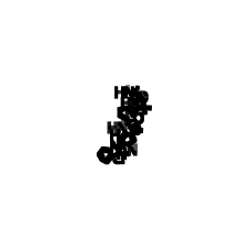 CN[C@@H](C)C(=O)N[C@H](C(=O)N1CCC[C@H]1C(=O)Nc1cc2c(Nc3ccccc3Cl)ncnc2cc1OC)C(C)(C)C